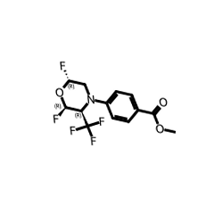 COC(=O)c1ccc(N2C[C@@H](F)O[C@H](F)[C@@H]2C(F)(F)F)cc1